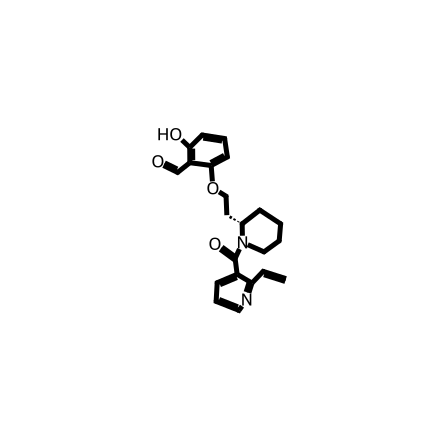 C=Cc1ncccc1C(=O)N1CCCC[C@H]1CCOc1cccc(O)c1C=O